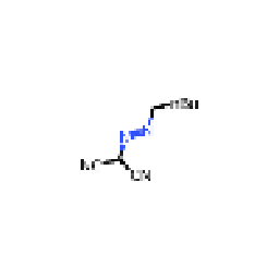 CCCCC/N=N/C(C#N)C#N